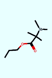 CCCOC(=O)[C](C)(C)[Sb]([CH3])[CH3]